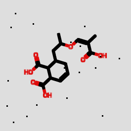 CC(=COC(C)CC1CC=CC(C(=O)O)C1C(=O)O)C(=O)O